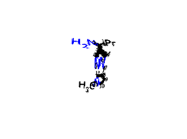 CC(C)[C@H](N)c1cnn(C[C@H]2CCN(C)C2)c1